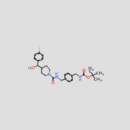 CC(C)(C)OC(=O)NCc1ccc(CNC(=O)N2CCC(C(O)c3ccc(F)cc3)CC2)cc1